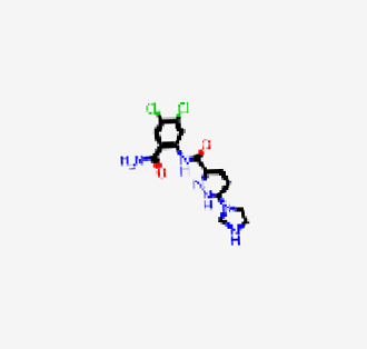 NC(=O)c1cc(Cl)c(Cl)cc1NC(=O)C1=NNC(N2CCNC2)CC1